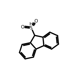 O=[SH](=O)C1c2ccccc2-c2ccccc21